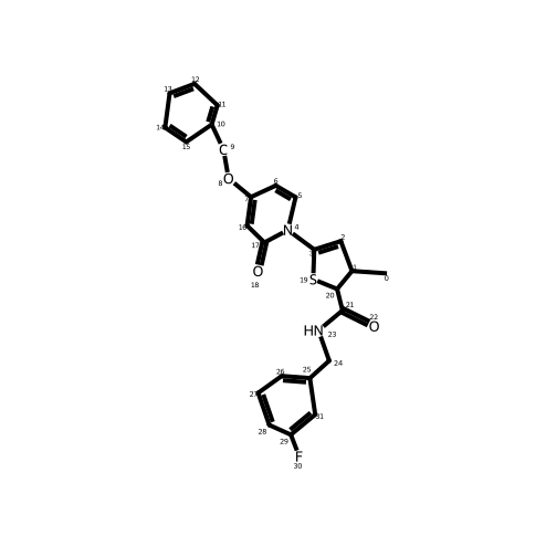 CC1C=C(n2ccc(OCc3ccccc3)cc2=O)SC1C(=O)NCc1cccc(F)c1